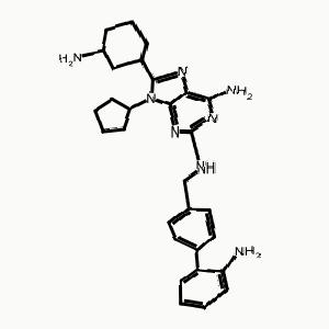 Nc1ccccc1-c1ccc(CNc2nc(N)c3nc(C4CCCC(N)C4)n(C4CCCC4)c3n2)cc1